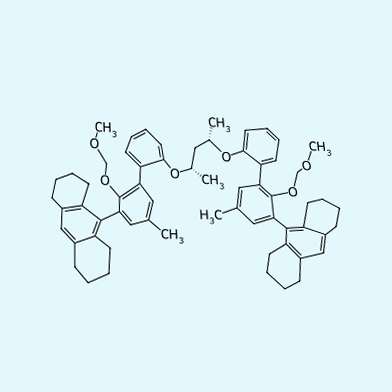 COCOc1c(-c2ccccc2O[C@@H](C)C[C@H](C)Oc2ccccc2-c2cc(C)cc(-c3c4c(cc5c3CCCC5)CCCC4)c2OCOC)cc(C)cc1-c1c2c(cc3c1CCCC3)CCCC2